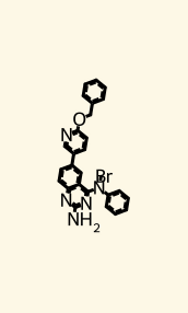 Nc1nc(N(Br)c2ccccc2)c2cc(-c3ccc(OCc4ccccc4)nc3)ccc2n1